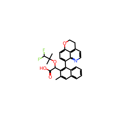 Cc1cc2ccccc2c(-c2ccc3c4c(ccnc24)CCO3)c1C(OC(C)(C)C(F)F)C(=O)O